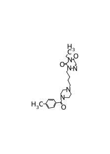 CCn1c(=O)cnn(CCCCN2CCN(C(=O)c3ccc(C)cc3)CC2)c1=O